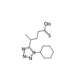 CC(CCC(O)=S)c1nnnn1C1CCCCC1